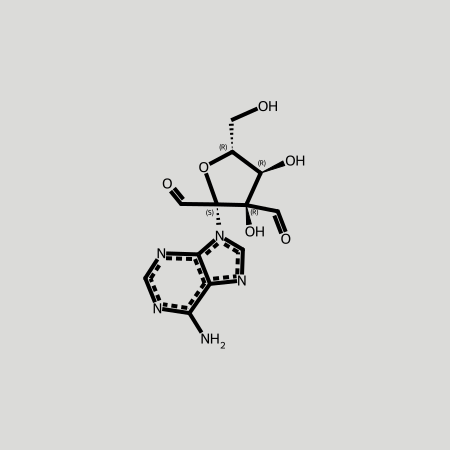 Nc1ncnc2c1ncn2[C@]1(C=O)O[C@H](CO)[C@@H](O)[C@]1(O)C=O